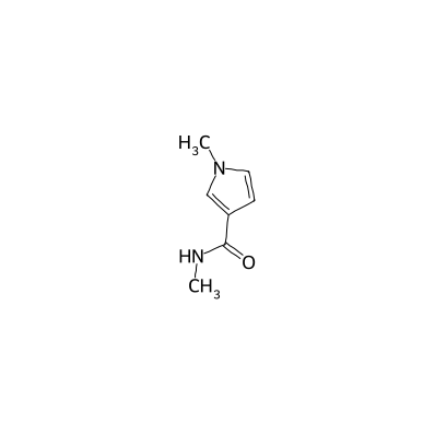 CNC(=O)c1ccn(C)c1